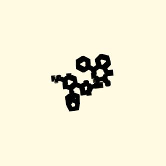 O=C1Nc2ccccc2C(c2ccccc2)=N[C@@H]1Nc1nnc(-c2cnc(C(F)(F)F)nc2N2CC3CCC(C2)O3)o1